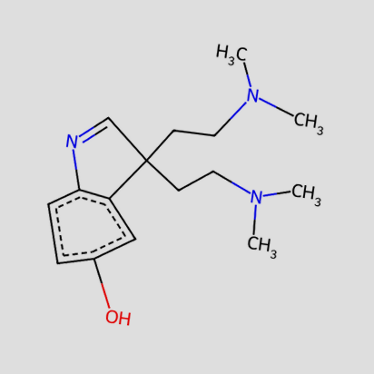 CN(C)CCC1(CCN(C)C)C=Nc2ccc(O)cc21